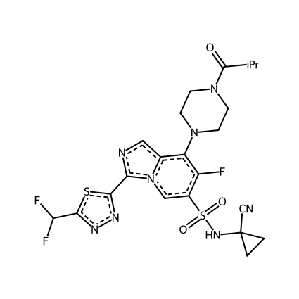 CC(C)C(=O)N1CCN(c2c(F)c(S(=O)(=O)NC3(C#N)CC3)cn3c(-c4nnc(C(F)F)s4)ncc23)CC1